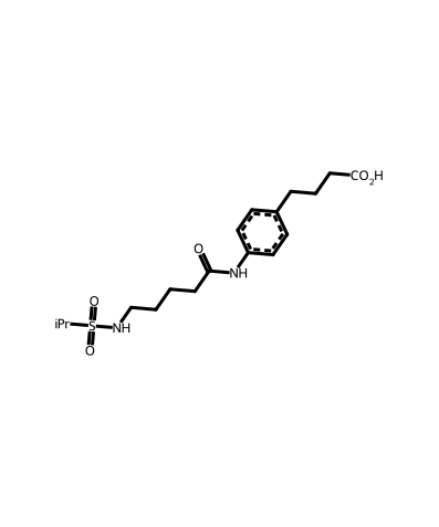 CC(C)S(=O)(=O)NCCCCC(=O)Nc1ccc(CCCC(=O)O)cc1